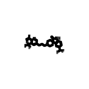 C=C(C)c1ncc(CCCN2CCC3(CC2)C(=C)Nc2ccc(C(F)F)cc23)cc1C(F)(F)F